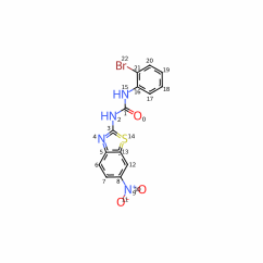 O=C(Nc1nc2ccc([N+](=O)[O-])cc2s1)Nc1ccccc1Br